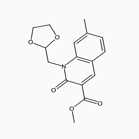 COC(=O)c1cc2ccc(C)cc2n(CC2OCCO2)c1=O